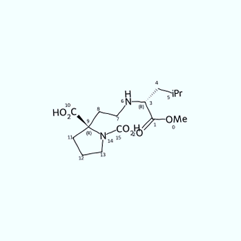 COC(=O)[C@@H](CC(C)C)NCC[C@@]1(C(=O)O)CCCN1C(=O)O